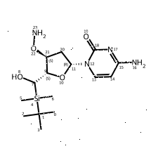 CC(C)(C)[Si](C)(C)C(O)[C@H]1O[C@@H](n2ccc(N)nc2=O)C[C@@H]1ON